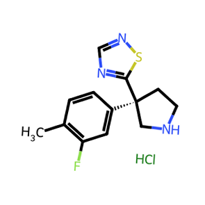 Cc1ccc([C@]2(c3ncns3)CCNC2)cc1F.Cl